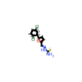 NC(=S)N/N=C/c1ccc(-c2cc(Cl)ccc2Cl)o1